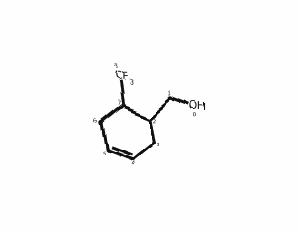 OCC1CC=CCC1C(F)(F)F